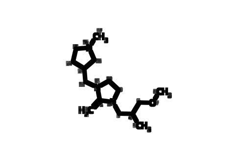 C=C1N(CC(C)COC)CCN1CC1CCN(C)C1